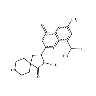 Cc1cc(C(C)O)c2oc(C3CC4(CCNCC4)C(=O)N3C)cc(=O)c2c1